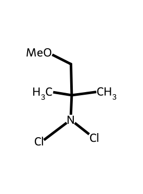 COCC(C)(C)N(Cl)Cl